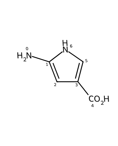 Nc1cc(C(=O)O)c[nH]1